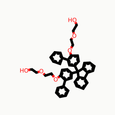 OCCOCCOc1ccc(C2(c3ccc(OCCOCCO)c(-c4ccccc4)c3)c3ccccc3-c3ccccc32)cc1-c1ccccc1